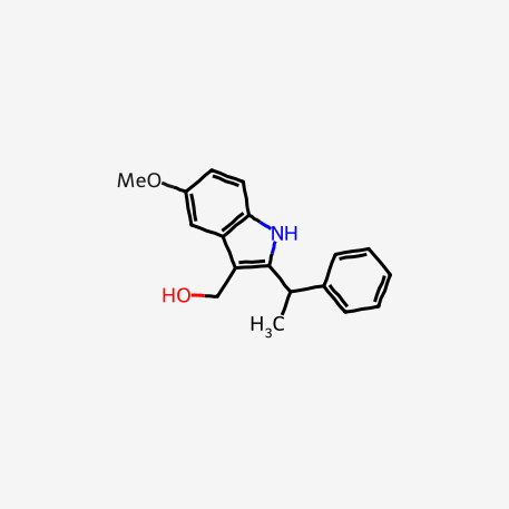 COc1ccc2[nH]c(C(C)c3ccccc3)c(CO)c2c1